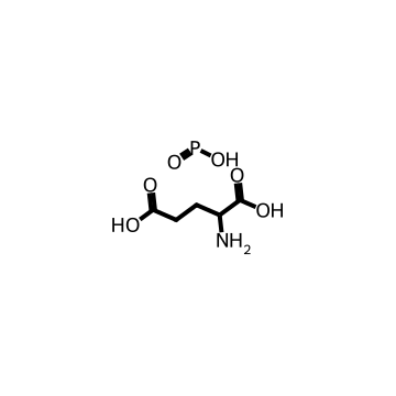 NC(CCC(=O)O)C(=O)O.O=PO